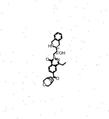 CCc1nn(C[C@@H](O)[C@@H]2Cc3ccccc3CN2)c(=O)c2ccc(C(=O)N3C4CCC3COC4)cc12